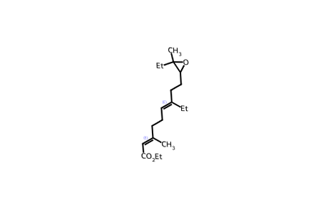 CCOC(=O)/C=C(\C)CC/C=C(\CC)CCC1OC1(C)CC